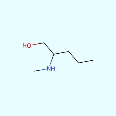 CCCC(CO)NC